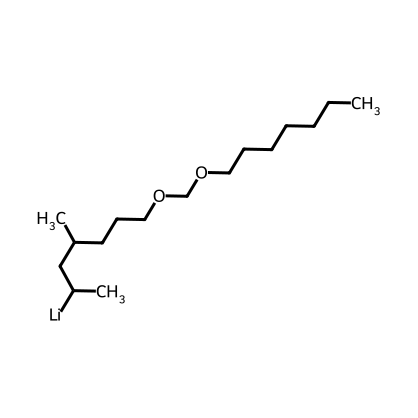 [Li][CH](C)CC(C)CCCOCOCCCCCCC